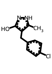 Cc1[nH]nc(O)c1Cc1ccc(Cl)cc1